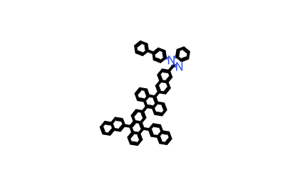 c1ccc(-c2ccc(-n3c(-c4ccc5cc(-c6c7ccccc7c(-c7ccc8c(-c9ccc%10ccccc%10c9)c9ccccc9c(-c9ccc%10ccccc%10c9)c8c7)c7ccccc67)ccc5c4)nc4ccccc43)cc2)cc1